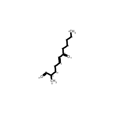 CCCCCC(=O)C=CCCC(C)C=O